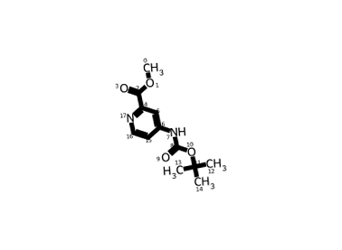 COC(=O)c1cc(NC(=O)OC(C)(C)C)ccn1